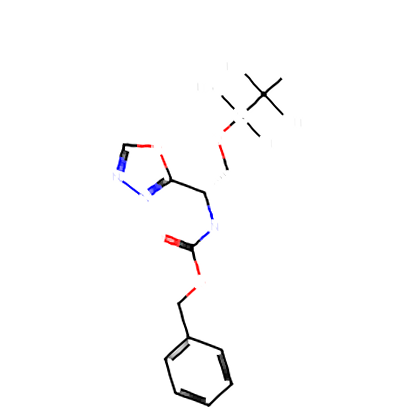 CC(C)(C)[Si](C)(C)OC[C@H](NC(=O)OCc1ccccc1)c1nnco1